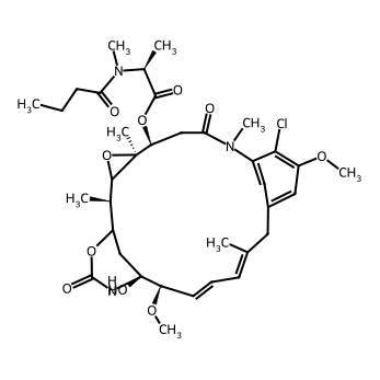 CCCC(=O)N(C)[C@@H](C)C(=O)O[C@H]1CC(=O)N(C)c2cc(cc(OC)c2Cl)C/C(C)=C/C=C/[C@@H](OC)[C@@]2(O)CC(OC(=O)N2)[C@@H](C)C2O[C@]21C